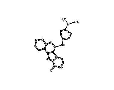 CN(C)c1ccc(Nc2nc3cnccc3c3[nH]c4c(=O)[nH]ccc4c23)cc1